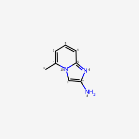 Cc1cccc2nc(N)cn12